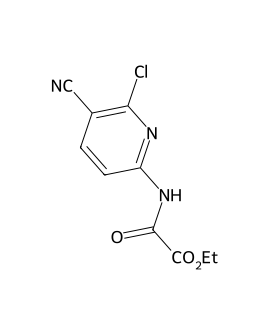 CCOC(=O)C(=O)Nc1ccc(C#N)c(Cl)n1